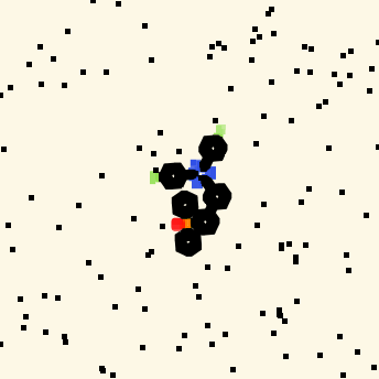 O=P(c1ccccc1)(c1ccccc1)c1cccc(-c2cccc(-c3nc(-c4ccc(F)cc4)nc(-c4ccc(F)cc4)n3)c2)c1